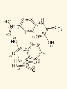 C[C@H](Nc1ccc([N+](=O)[O-])cc1)C(=O)O.N=C=O.N=C=O.O=C(O)c1ccccc1